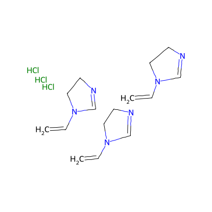 C=CN1C=NCC1.C=CN1C=NCC1.C=CN1C=NCC1.Cl.Cl.Cl